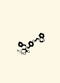 CCC(C(=O)O)N(Cc1ccccc1)Cc1ccc(OCCN2CCSc3ccccc32)cc1